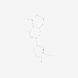 Cc1c(O)c(-c2ccc(O)c(O)c2)[o+]c2cc(O)cc(O)c12